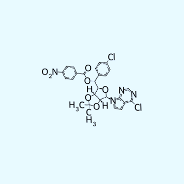 CC1(C)O[C@H]2[C@@H](O1)[C@H](n1ccc3c(Cl)ncnc31)O[C@@H]2[C@H](OC(=O)c1ccc([N+](=O)[O-])cc1)c1ccc(Cl)cc1